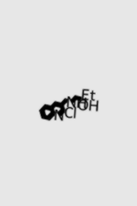 CCC(O)CNCc1cc2ccccc2nc1Cl